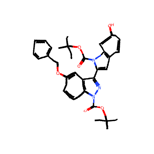 CC(C)(C)OC(=O)n1nc(-c2cc3ccc(O)cc3n2C(=O)OC(C)(C)C)c2cc(OCc3ccccc3)ccc21